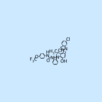 CC1(C)CN(c2ccccc2NC(=O)Nc2ccc(OC(F)(F)F)cc2)c2c(O)ccc(-c3nc4cc(Cl)ccc4s3)c21